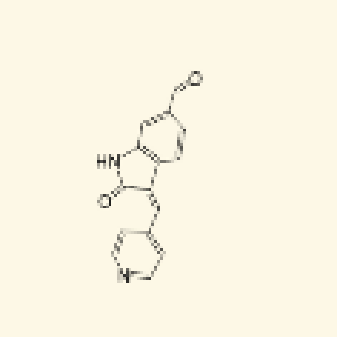 O=Cc1ccc2c(c1)NC(=O)C2=Cc1ccncc1